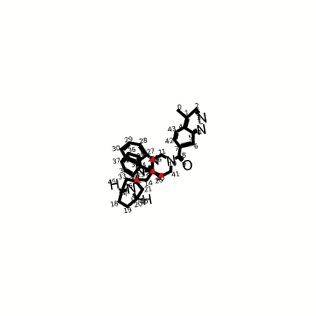 Cc1cnnc2cc(C(=O)N3CCC(CCN4[C@@H]5CC[C@H]4CC(n4c(C)nc6ccccc64)C5)(c4ccccc4)CC3)ccc12